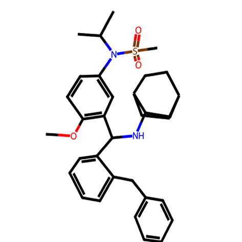 COc1ccc(N(C(C)C)S(C)(=O)=O)cc1C(NC1CC2CCC1CC2)c1ccccc1Cc1ccccc1